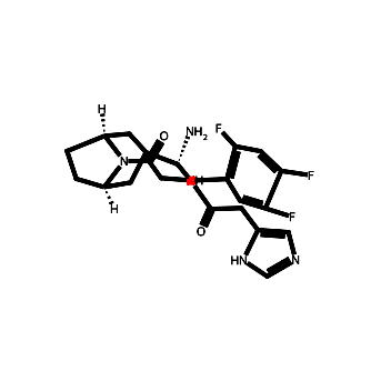 N[C@H](Cc1cc(F)c(F)cc1F)C1C[C@H]2CC[C@@H](C1)N2C(=O)CNC(=O)Cc1cnc[nH]1